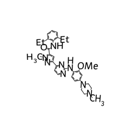 CCc1cccc(CC)c1NC(=O)c1cc(-c2ccnc(Nc3ccc(N4CCN(C)CC4)cc3OC)n2)nn1C